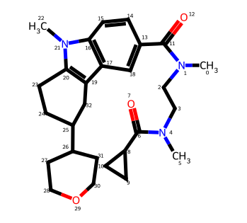 CN(CCN(C)C(=O)C1CC1)C(=O)c1ccc2c(c1)c1c(n2C)CCC(C2CCOCC2)C1